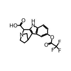 O=C(O)C1c2[nH]c3ccc(OC(=O)C(F)(F)F)cc3c2C2CCN1C2